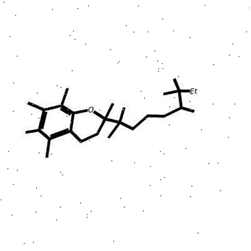 CCC(C)(C)C(C)CCCC(C)(C)C1(C)CCc2c(C)c(C)c(C)c(C)c2O1